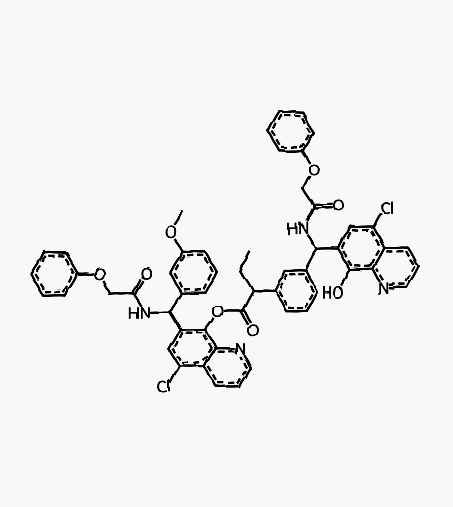 CCC(C(=O)Oc1c(C(NC(=O)COc2ccccc2)c2cccc(OC)c2)cc(Cl)c2cccnc12)c1cccc(C(NC(=O)COc2ccccc2)c2cc(Cl)c3cccnc3c2O)c1